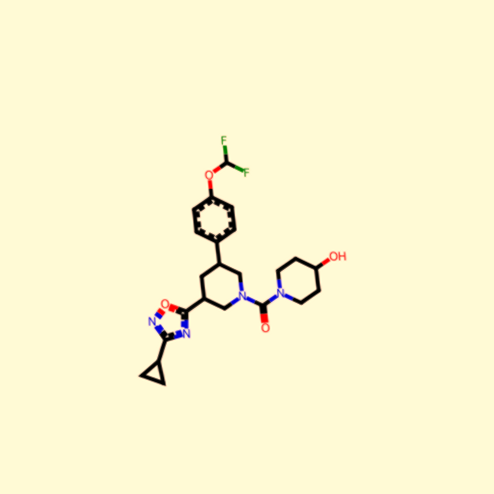 O=C(N1CCC(O)CC1)N1CC(c2ccc(OC(F)F)cc2)CC(c2nc(C3CC3)no2)C1